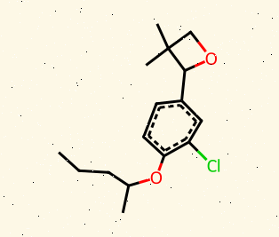 CCCC(C)Oc1ccc(C2OCC2(C)C)cc1Cl